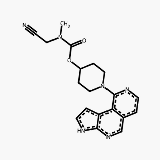 CN(CC#N)C(=O)OC1CCN(c2nccc3cnc4[nH]ccc4c23)CC1